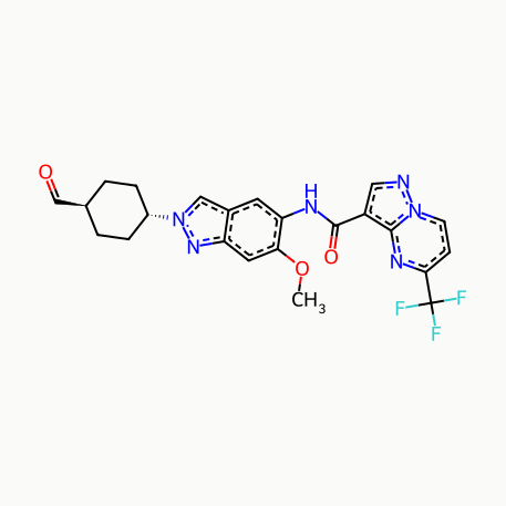 COc1cc2nn([C@H]3CC[C@H](C=O)CC3)cc2cc1NC(=O)c1cnn2ccc(C(F)(F)F)nc12